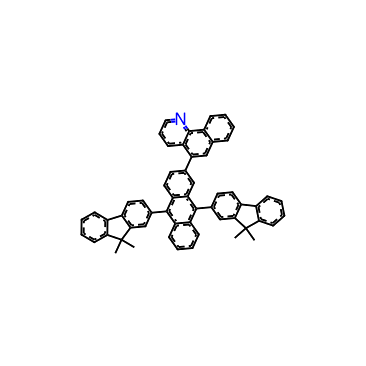 CC1(C)c2ccccc2-c2ccc(-c3c4ccccc4c(-c4ccc5c(c4)C(C)(C)c4ccccc4-5)c4cc(-c5cc6ccccc6c6ncccc56)ccc34)cc21